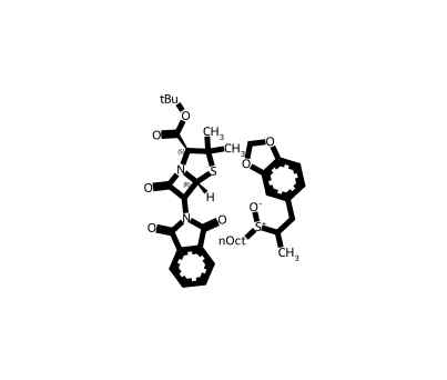 CC(C)(C)OC(=O)[C@@H]1N2C(=O)C(N3C(=O)c4ccccc4C3=O)[C@H]2SC1(C)C.CCCCCCCC[S+]([O-])C(C)Cc1ccc2c(c1)OCO2